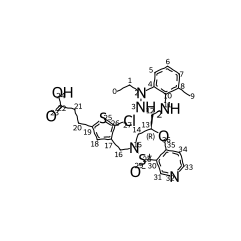 CCN(N)c1cccc(C)c1NC[C@@H]1CN(Cc2cc(CCC(=O)O)sc2Cl)[S+]([O-])c2cnccc2O1